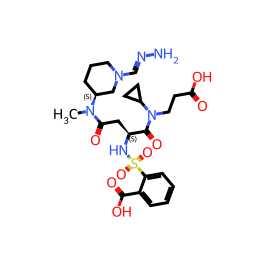 CN(C(=O)C[C@H](NS(=O)(=O)c1ccccc1C(=O)O)C(=O)N(CCC(=O)O)C1CC1)[C@H]1CCCN(C=NN)C1